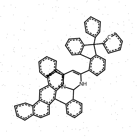 C1=C(c2cccc3c2-c2ccccc2C3(c2ccccc2)c2ccccc2)NC(c2ccccc2-c2c3ccccc3cc3c2ccc2ccccc23)NC1c1ccccc1